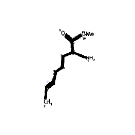 C/C=C/CCCC(N)C(=O)OC